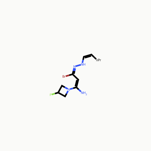 CCC/C=C\N/N=C(Br)\C=C(\N)N1CC(F)C1